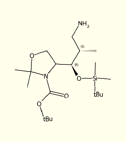 C[C@@H](CN)[C@@H](O[Si](C)(C)C(C)(C)C)C1COC(C)(C)N1C(=O)OC(C)(C)C